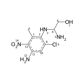 Cc1c(NC(N)CO)c(Cl)cc(N)c1[N+](=O)[O-]